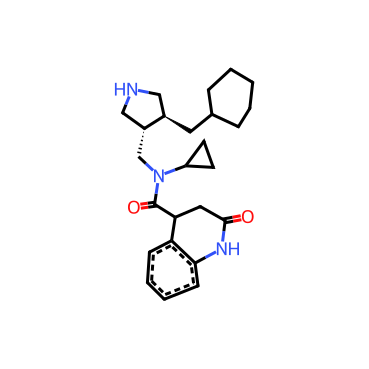 O=C1CC(C(=O)N(C[C@@H]2CNC[C@H]2CC2CCCCC2)C2CC2)c2ccccc2N1